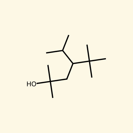 CC(C)C(CC(C)(C)O)C(C)(C)C